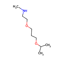 CNCCOCCCOC(C)C